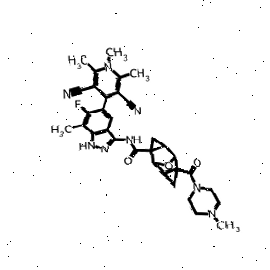 CC1=C(C#N)C(c2cc3c(NC(=O)C45CC4C4OC5C5CC54C(=O)N4CCN(C)CC4)n[nH]c3c(C)c2F)C(C#N)=C(C)N1C